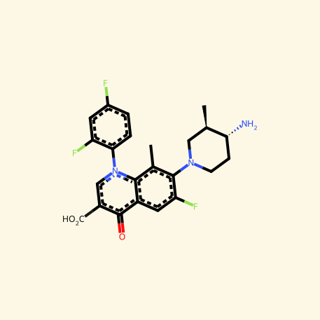 Cc1c(N2CC[C@@H](N)[C@H](C)C2)c(F)cc2c(=O)c(C(=O)O)cn(-c3ccc(F)cc3F)c12